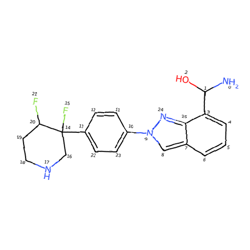 NC(O)c1cccc2cn(-c3ccc(C4(F)CNCCC4F)cc3)nc12